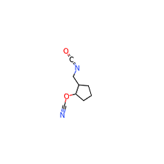 N#COC1CCCC1CN=C=O